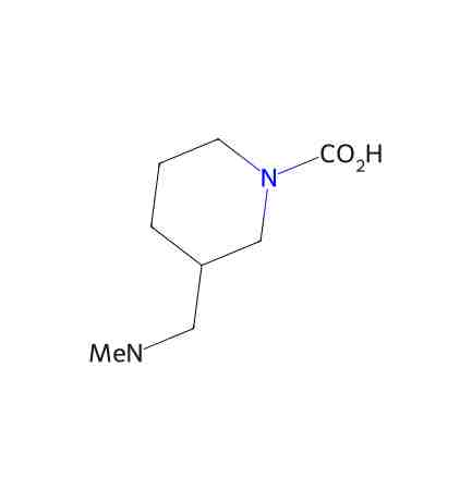 CNCC1CCCN(C(=O)O)C1